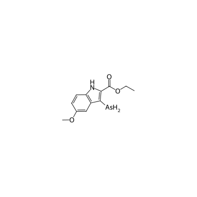 CCOC(=O)c1[nH]c2ccc(OC)cc2c1[AsH2]